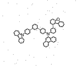 c1cc(-c2ccc(N(c3cccc(-c4cccc5oc6ccccc6c45)c3)c3cc4ccccc4c4ccccc34)cc2)cc(-c2ccc(-n3c4ccccc4c4ccccc43)cc2)c1